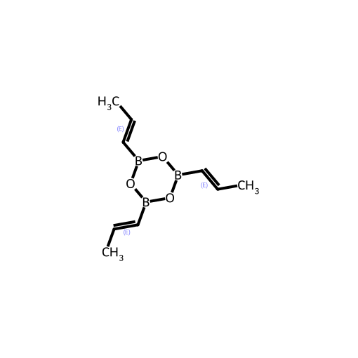 C/C=C/B1OB(/C=C/C)OB(/C=C/C)O1